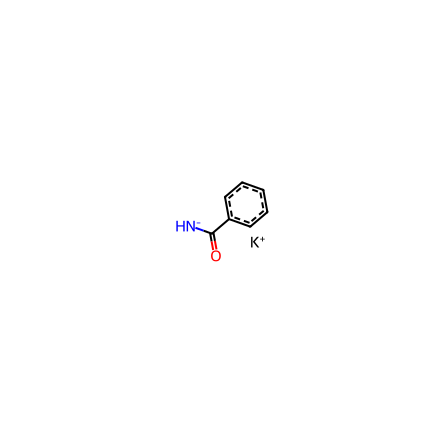 [K+].[NH-]C(=O)c1ccccc1